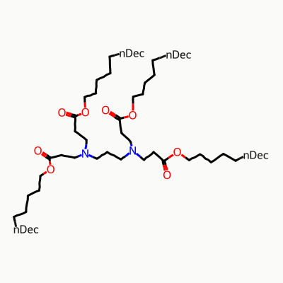 CCCCCCCCCCCCCCCOC(=O)CCN(CCCN(CCC(=O)OCCCCCCCCCCCCCCC)CCC(=O)OCCCCCCCCCCCCCCC)CCC(=O)OCCCCCCCCCCCCCCC